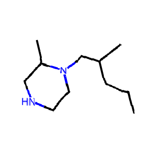 CCCC(C)CN1CCNCC1C